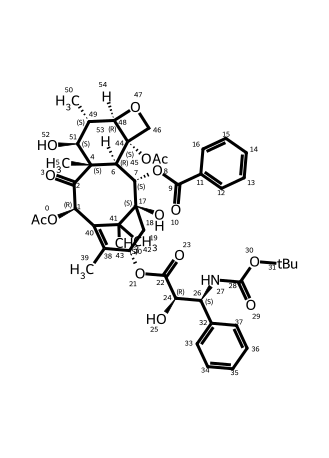 CC(=O)O[C@H]1C(=O)[C@@]2(C)[C@H]([C@H](OC(=O)c3ccccc3)[C@]3(O)C[C@H](OC(=O)[C@H](O)[C@@H](NC(=O)OC(C)(C)C)c4ccccc4)C(C)=C1C3(C)C)[C@]1(OC(C)=O)CO[C@@H]1[C@@H](C)[C@@H]2O